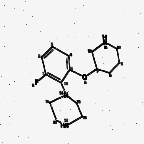 Fc1cccc(OC2CCCNC2)c1N1CCNCC1